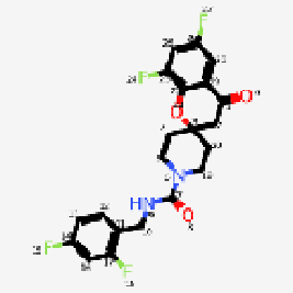 O=C1CC2(CCN(C(=O)NCc3ccc(F)cc3F)CC2)Oc2c(F)cc(F)cc21